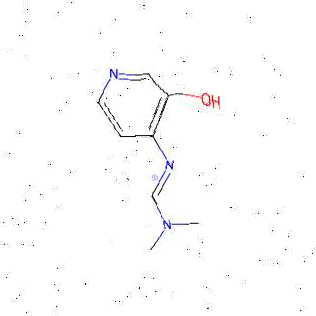 CN(C)/C=N/c1ccncc1O